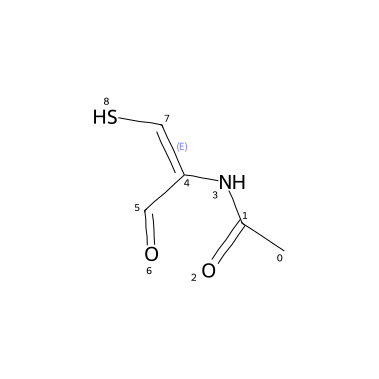 CC(=O)N/C(C=O)=C/S